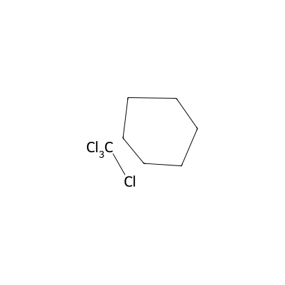 C1CCCCC1.ClC(Cl)(Cl)Cl